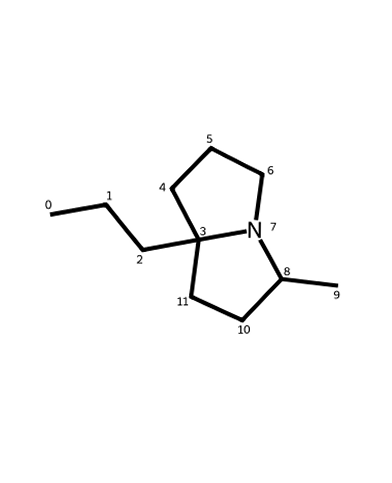 CCCC12CCCN1C(C)CC2